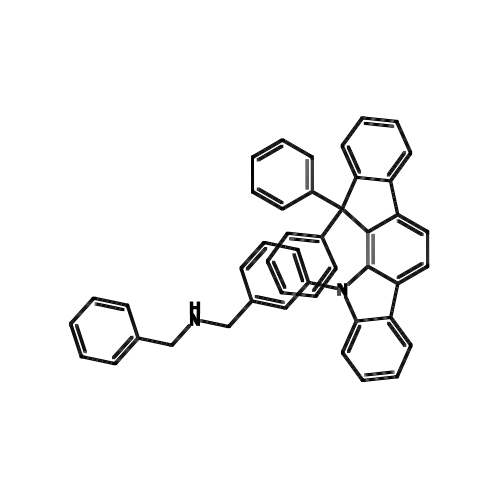 c1ccc(CNCc2cccc(-n3c4ccccc4c4ccc5c(c43)C(c3ccccc3)(c3ccccc3)c3ccccc3-5)c2)cc1